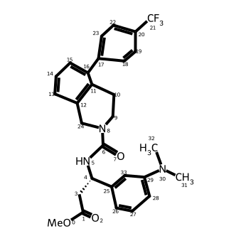 COC(=O)C[C@H](NC(=O)N1CCc2c(cccc2-c2ccc(C(F)(F)F)cc2)C1)c1cccc(N(C)C)c1